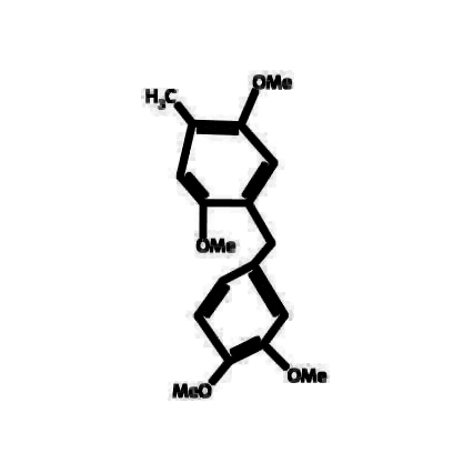 COc1cc(Cc2ccc(OC)c(OC)c2)c(OC)cc1C